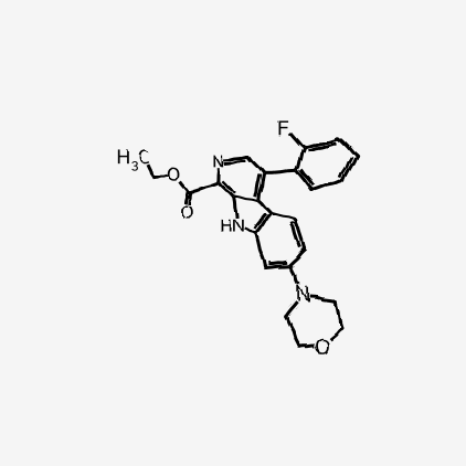 CCOC(=O)c1ncc(-c2ccccc2F)c2c1[nH]c1cc(N3CCOCC3)ccc12